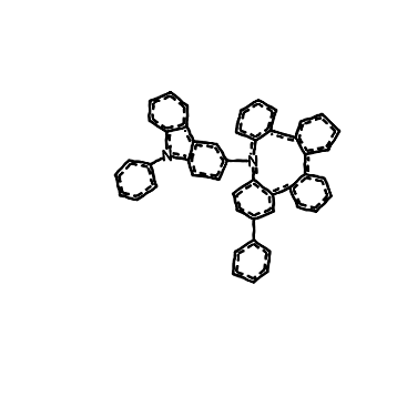 c1ccc(-c2ccc3c(c2)c2ccccc2c2ccccc2c2ccccc2n3-c2ccc3c(c2)c2ccccc2n3-c2ccccc2)cc1